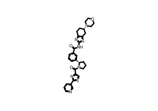 O=C(Nc1nc2c(s1)C[C@@H](N1CCOCC1)CC2)c1cccc([C@H]2CCCN2C(=O)c2csc(-c3cccnc3)n2)c1